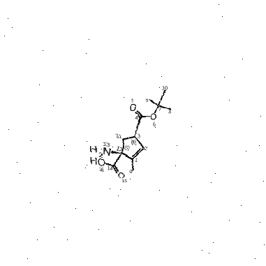 CC1=C[C@H](C(=O)OC(C)(C)C)C[C@@]1(N)C(=O)O